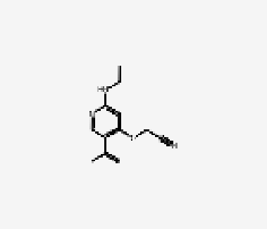 C=C(C)c1cnc(NCC)cc1OCC#N